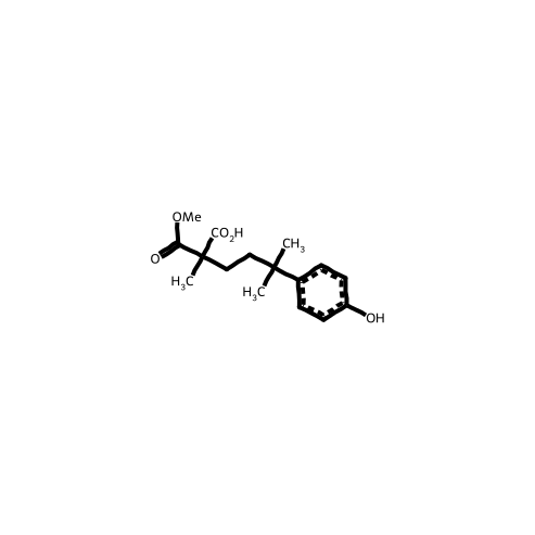 COC(=O)C(C)(CCC(C)(C)c1ccc(O)cc1)C(=O)O